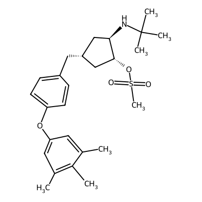 Cc1cc(Oc2ccc(C[C@@H]3C[C@@H](NC(C)(C)C)[C@H](OS(C)(=O)=O)C3)cc2)cc(C)c1C